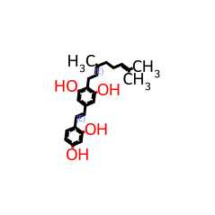 CC(C)=CCC/C(C)=C/Cc1c(O)cc(/C=C/c2ccc(O)cc2O)cc1O